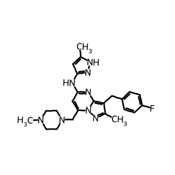 Cc1cc(Nc2cc(CN3CCN(C)CC3)n3nc(C)c(Cc4ccc(F)cc4)c3n2)n[nH]1